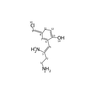 NCCC(N)=CC1=CC(=CCl)CC=C1O